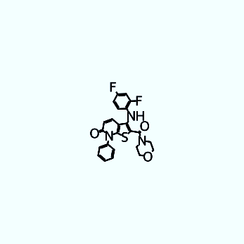 O=C(c1sc2c(ccc(=O)n2-c2ccccc2)c1Nc1ccc(F)cc1F)N1CCOCC1